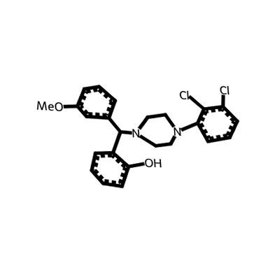 COc1cccc(C(c2ccccc2O)N2CCN(c3cccc(Cl)c3Cl)CC2)c1